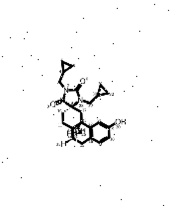 O=C1N(CC2CC2)C(=O)[C@@]2(CC[C@@]3(O)[C@H]4Cc5ccc(O)cc5[C@@]3(CCN4)C2)N1CC1CC1